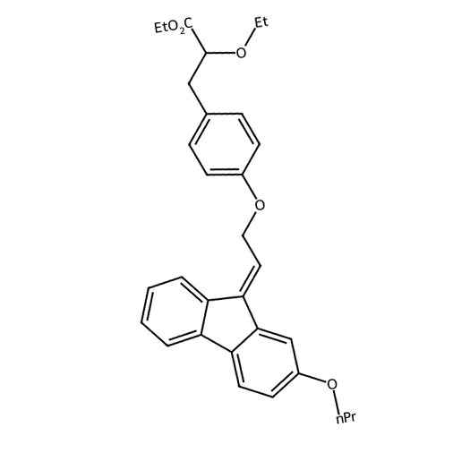 CCCOc1ccc2c(c1)/C(=C/COc1ccc(CC(OCC)C(=O)OCC)cc1)c1ccccc1-2